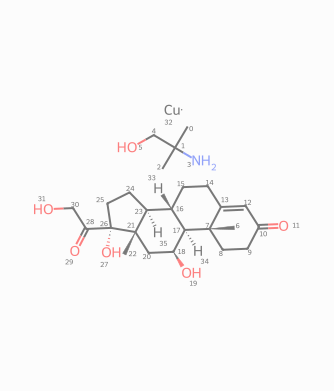 CC(C)(N)CO.C[C@]12CCC(=O)C=C1CC[C@@H]1[C@@H]2[C@@H](O)C[C@@]2(C)[C@H]1CC[C@]2(O)C(=O)CO.[Cu]